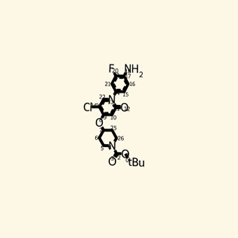 CC(C)(C)OC(=O)N1CCC(Oc2cc(=O)n(-c3ccc(N)c(F)c3)cc2Cl)CC1